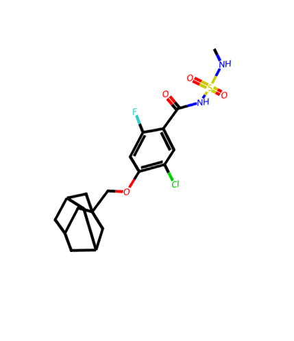 CNS(=O)(=O)NC(=O)c1cc(Cl)c(OCC23CC4CC(CC(C4)C2)C3)cc1F